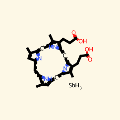 CC1=Cc2cc3[nH]c(cc4nc(cc5[nH]c(cc1n2)c(C)c5CCC(=O)O)C(CCC(=O)O)=C4C)cc3C.[SbH3]